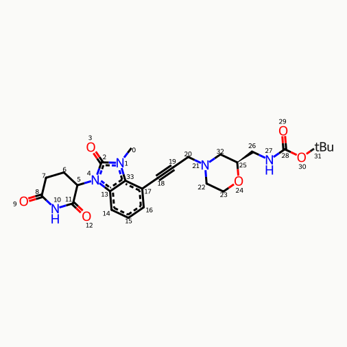 Cn1c(=O)n(C2CCC(=O)NC2=O)c2cccc(C#CCN3CCO[C@H](CNC(=O)OC(C)(C)C)C3)c21